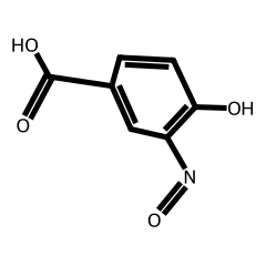 O=Nc1cc(C(=O)O)ccc1O